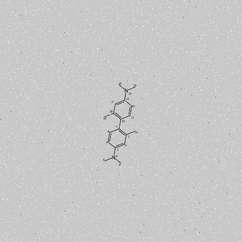 Cc1cc(N(C)C)ccc1-c1ccc(N(C)C)cc1C